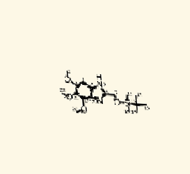 COc1cc2[nH]c(CO[Si](C)(C)C(C)(C)C)nc2c(OC)c1OC